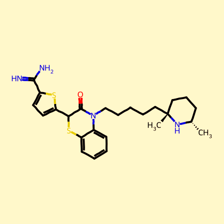 C[C@H]1CCC[C@@](C)(CCCCCN2C(=O)C(c3ccc(C(=N)N)s3)Sc3ccccc32)N1